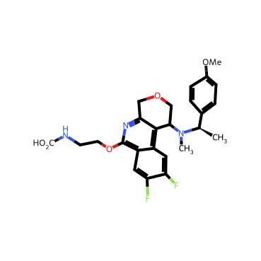 COc1ccc([C@@H](C)N(C)C2COCc3nc(OCCNC(=O)O)c4cc(F)c(F)cc4c32)cc1